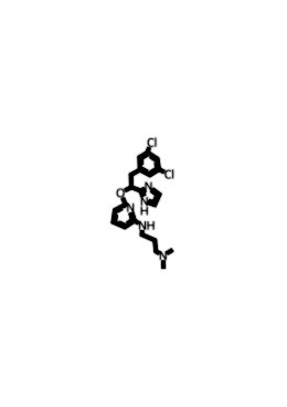 CN(C)CCCNc1cccc(OC(Cc2cc(Cl)cc(Cl)c2)c2ncc[nH]2)n1